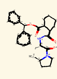 C[C@H](NC(=O)C1CCCCC1C(=O)OC(c1ccccc1)c1ccccc1)C(=O)N1CCC[C@H]1C(=O)O